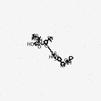 Cc1ncc(-c2ccc3nc(NC(=O)CCCCCCOc4cc(-c5scnc5C)ccc4CNC(=O)[C@@H]4C[C@@H](O)CN4C(=O)[C@@H](NC(=O)C4(F)CC4)C(C)(C)C)sc3c2)cc1NC(=O)OC1CCCCC1